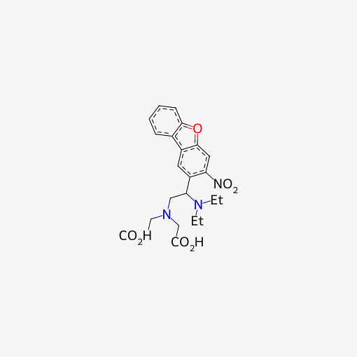 CCN(CC)C(CN(CC(=O)O)CC(=O)O)c1cc2c(cc1[N+](=O)[O-])oc1ccccc12